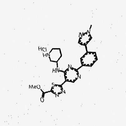 COC(=O)c1nnc(-c2cnc(-c3cccc(-c4cnn(C)c4)c3)nc2NC2CCCNC2)s1.Cl